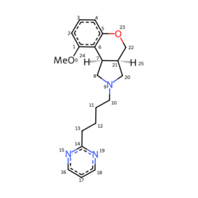 COc1cccc2c1[C@@H]1CN(CCCCc3ncccn3)C[C@@H]1CO2